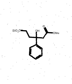 CCOC(=O)CCC(O)(CC(=O)OC)c1ccccc1